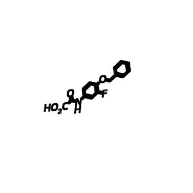 O=C(O)C(=O)Nc1ccc(OCc2ccccc2)c(F)c1